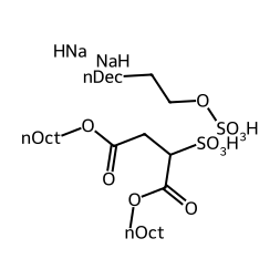 CCCCCCCCCCCCOS(=O)(=O)O.CCCCCCCCOC(=O)CC(C(=O)OCCCCCCCC)S(=O)(=O)O.[NaH].[NaH]